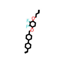 C=CCCOC1CCC(OCC2CCC(C3CCC(C=C)CC3)CC2)C(F)C1F